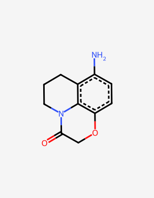 Nc1ccc2c3c1CCCN3C(=O)CO2